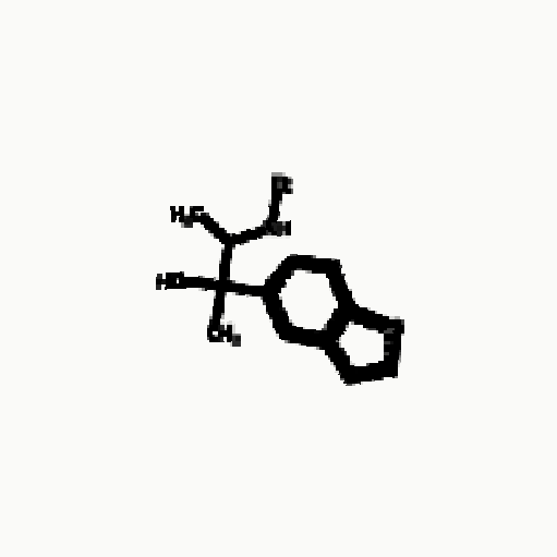 CCNC(C)C(C)(O)c1ccc2sccc2c1